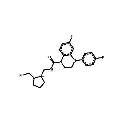 CC(C)CN1CCC[C@@H]1CNC(=O)N1CCN(c2ccc(F)cc2)c2cc(F)ccc21